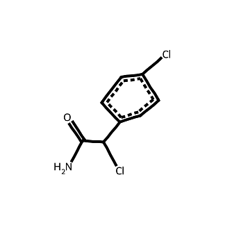 NC(=O)C(Cl)c1ccc(Cl)cc1